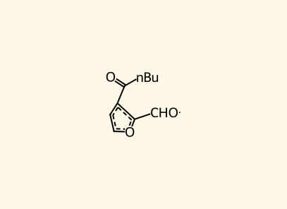 CCCCC(=O)c1ccoc1[C]=O